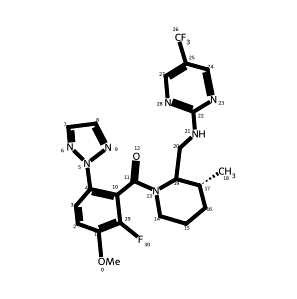 COc1ccc(-n2nccn2)c(C(=O)N2CCC[C@@H](C)C2CNc2ncc(C(F)(F)F)cn2)c1F